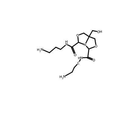 NCCCNC(=O)C1OCC2(CO)COC(C(=O)NCCCN)N12